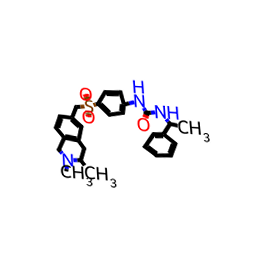 CC(NC(=O)Nc1ccc(S(=O)(=O)Cc2ccc3c(c2)CC(C)N(C)C3)cc1)c1ccccc1